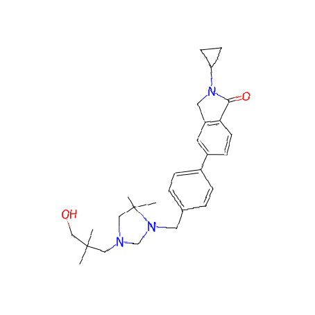 CC(C)(CO)CN1CN(Cc2ccc(-c3ccc4c(c3)CN(C3CC3)C4=O)cc2)C(C)(C)C1